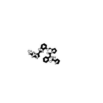 CSc1nn2c(-c3nc4c(OC[C@H]5CCCN5C(=O)[C@H](NC(=O)c5cccs5)c5ccccc5)cccc4o3)cnc2s1